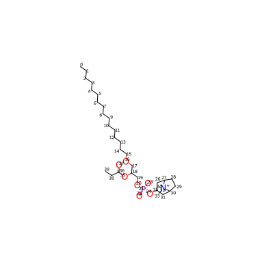 CCCCCCCCCCCCCCCCOCC(COP(=O)([O-])OC1CC2CCC(C1)[N+]2(C)C)OC(=O)CC